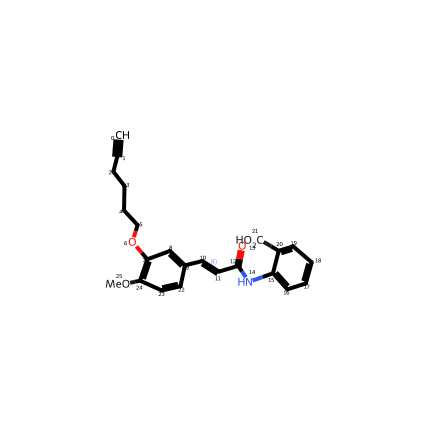 C#CCCCCOc1cc(/C=C/C(=O)Nc2ccccc2C(=O)O)ccc1OC